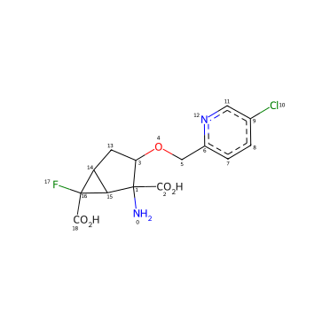 NC1(C(=O)O)C(OCc2ccc(Cl)cn2)CC2C1C2(F)C(=O)O